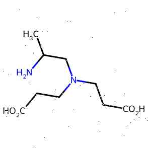 CC(N)CN(CCC(=O)O)CCC(=O)O